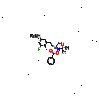 CCC1(CC)OC[C@H](CCc2cc(NC(C)=O)cc(F)c2C)N1OC(=O)c1ccccc1